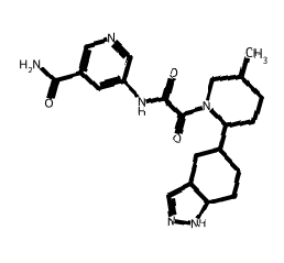 CC1CCC(C2CCC3NN=CC3C2)N(C(=O)C(=O)Nc2cncc(C(N)=O)c2)C1